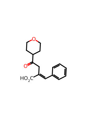 O=C(O)C(=Cc1ccccc1)CC(=O)C1CCOCC1